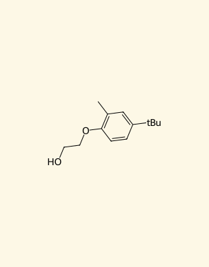 Cc1cc(C(C)(C)C)ccc1OCCO